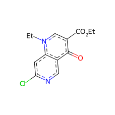 CCOC(=O)c1cn(CC)c2cc(Cl)ncc2c1=O